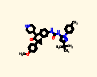 COc1ccc(C2(C(=O)C(c3ccc(NC(=O)Nc4cc(C(C)(C)C)nn4-c4ccc(C)cc4)cc3)C3CCNCC3)CC2)cc1